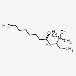 CCCCCCCC(=O)NC(CC)[N+](C)(C)C